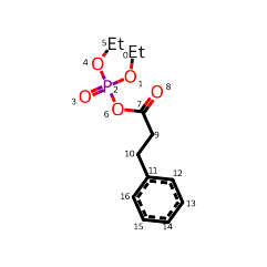 CCOP(=O)(OCC)OC(=O)CCc1ccccc1